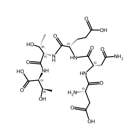 C[C@@H](O)[C@H](NC(=O)[C@@H](NC(=O)[C@H](CCC(=O)O)NC(=O)[C@H](CC(N)=O)NC(=O)[C@@H](N)CC(=O)O)[C@@H](C)O)C(=O)O